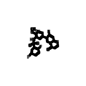 COc1ncc(-c2cn3c(=O)ccnc3cc2F)cc1NS(=O)(=O)c1cc(F)ccc1F